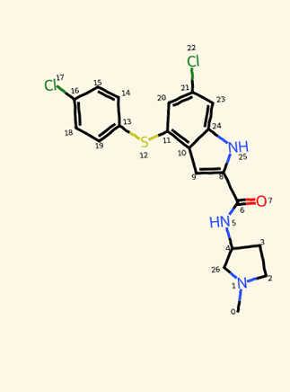 CN1CCC(NC(=O)c2cc3c(Sc4ccc(Cl)cc4)cc(Cl)cc3[nH]2)C1